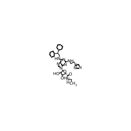 CCNC(=O)[C@H]1O[C@@H](n2cnc3c(NCC(c4ccccc4)c4ccccc4)nc(NCCn4cncn4)nc32)[C@H](O)[C@@H]1O